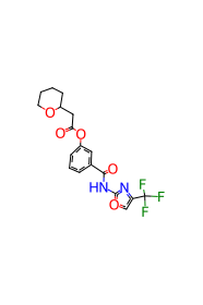 O=C(CC1CCCCO1)Oc1cccc(C(=O)Nc2nc(C(F)(F)F)co2)c1